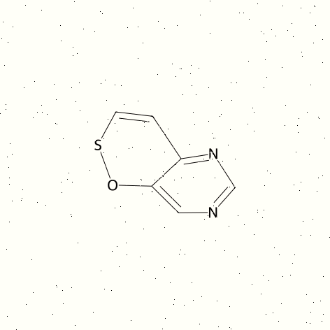 C1=Cc2ncncc2OS1